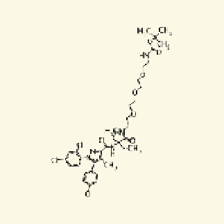 CCC(CC)(NC(=O)c1nn(-c2ccc(Cl)cc2Cl)c(-c2ccc(Cl)cc2)c1C)C(=O)NCCOCCOCCOCCNC(=O)OC(C)(C)C